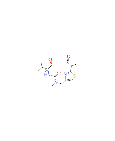 CC(C=O)c1nc(CN(C)C(=O)N[C@H](C=O)C(C)C)cs1